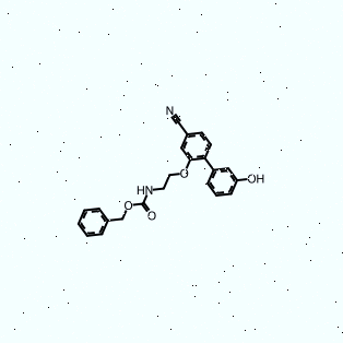 N#Cc1ccc(-c2cccc(O)c2)c(OCCNC(=O)OCc2ccccc2)c1